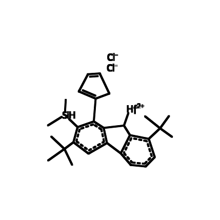 C[SiH](C)c1c(C(C)(C)C)cc2c(c1C1=CC=CC1)[CH]([Hf+2])c1c-2cccc1C(C)(C)C.[Cl-].[Cl-]